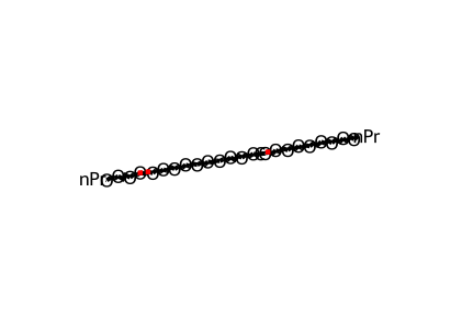 CCCOCCOCCOCCOCCOCCOCCOCCOCCOCCOCCOCCOCCOCCOCCOCCOCCOCCOCCOCCOCCOCCOCCOCCC